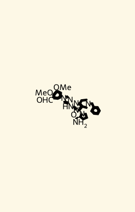 COc1cc(-n2cnc(Nc3nc4c(c(N5CCC[C@H]5C(N)=O)n3)CN(Cc3ccccc3)CC4)c2)cc(C=O)c1OC